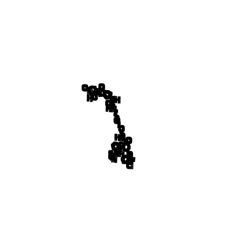 O=C1CCC(N2Cc3cc(NC(=O)CNCCCOCCOCCNC(=O)[C@]4(Cc5cccc(Nc6nccs6)n5)CC[C@@H](Oc5cccc(Cl)c5F)CC4)ccc3C2=O)C(=O)N1